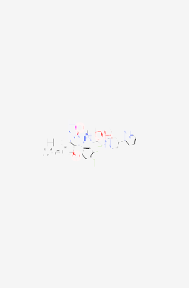 COC(=O)C1=C(C)NC(=O)N(N(C=O)CC(O)CN2CCC(c3ccccn3)CC2)C1c1ccc(F)c(F)c1